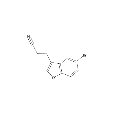 N#CCCc1coc2ccc(Br)cc12